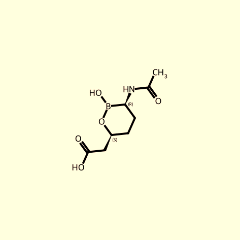 CC(=O)N[C@H]1CC[C@@H](CC(=O)O)OB1O